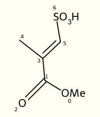 COC(=O)C(C)=CS(=O)(=O)O